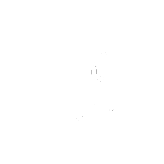 CC(CCC(=O)O)C[SH](=O)=O